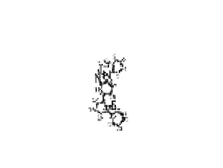 c1ccc2c(c1)SCc1nc3cc(-c4cccc5c4sc4ccccc45)ccc3n1-2